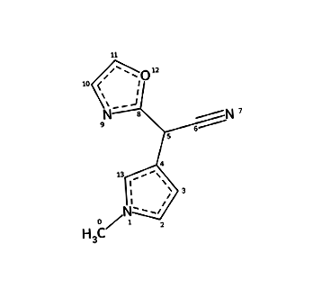 Cn1ccc(C(C#N)c2ncco2)c1